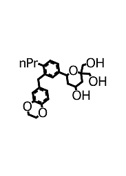 CCCc1ccc(C2CC(O)CC(CO)(CO)O2)cc1Cc1ccc2c(c1)OCCO2